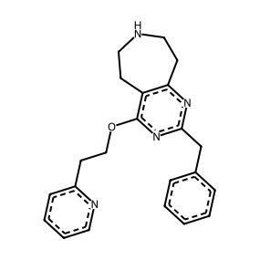 c1ccc(Cc2nc3c(c(OCCc4ccccn4)n2)CCNCC3)cc1